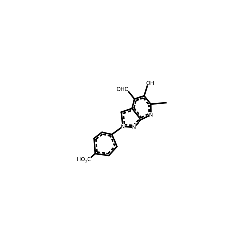 Cc1nc2nn(-c3ccc(C(=O)O)cc3)cc2c(C=O)c1O